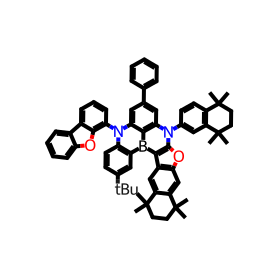 CC(C)(C)c1ccc2c(c1)B1c3c(cc(-c4ccccc4)cc3N2c2cccc3c2oc2ccccc23)N(c2ccc3c(c2)C(C)(C)CCC3(C)C)c2oc3cc4c(cc3c21)C(C)(C)CCC4(C)C